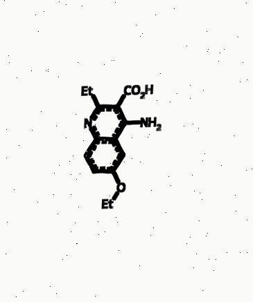 CCOc1ccc2nc(CC)c(C(=O)O)c(N)c2c1